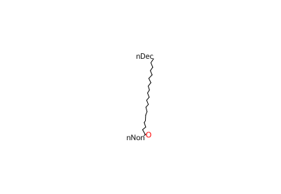 CCCCCCCCCCCCCCCCCCCCCCCCCCCCCCC(=O)CCCCCCCCC